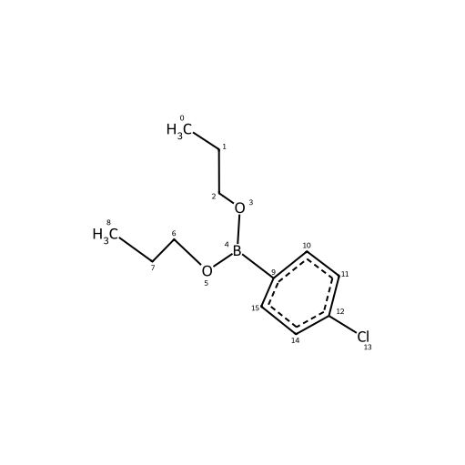 CCCOB(OCCC)c1ccc(Cl)cc1